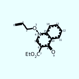 C=CCOn1cc(C(=O)OCC)c(=O)c2ccccc21